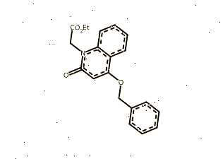 CCOC(=O)Cn1c(=O)cc(OCc2ccccc2)c2ccccc21